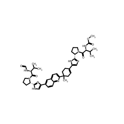 COC(=O)N[C@H](C(=O)N1CCC[C@H]1c1ncc(C2=CCC(C)(c3ccc4cc(-c5c[nH]c([C@@H]6CCCN6C(=O)[C@@H](NC=O)C(C)C)n5)ccc4n3)CC2)[nH]1)C(C)C